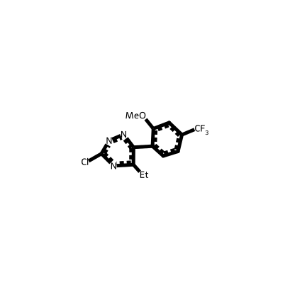 CCc1nc(Cl)nnc1-c1ccc(C(F)(F)F)cc1OC